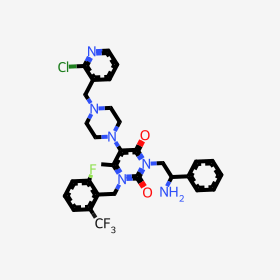 Cc1c(N2CCN(Cc3cccnc3Cl)CC2)c(=O)n(CC(N)c2ccccc2)c(=O)n1Cc1c(F)cccc1C(F)(F)F